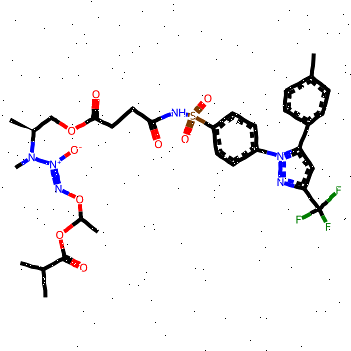 Cc1ccc(-c2cc(C(F)(F)F)nn2-c2ccc(S(=O)(=O)NC(=O)CCC(=O)OC[C@H](C)N(C)[N+]([O-])=NOC(C)OC(=O)C(C)C)cc2)cc1